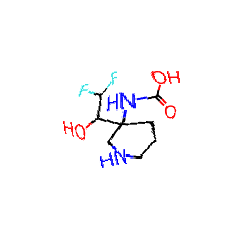 O=C(O)NC1(C(O)C(F)F)CCCNC1